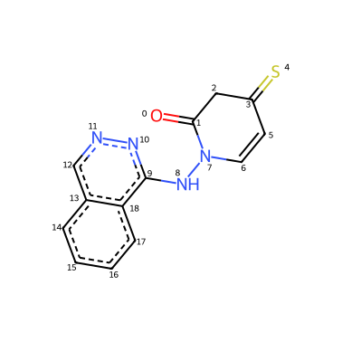 O=C1CC(=S)C=CN1Nc1nncc2ccccc12